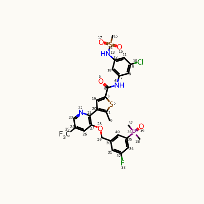 Cc1sc(C(=O)Nc2cc(Cl)cc(NS(C)(=O)=O)c2)cc1-c1ncc(C(F)(F)F)cc1OCc1cc(F)cc(P(C)(C)=O)c1